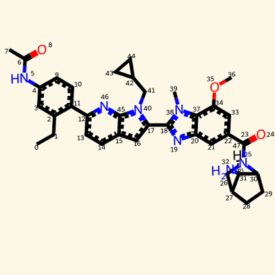 CCc1cc(NC(C)=O)ccc1-c1ccc2cc(-c3nc4cc(C(=O)N5CC6CCC5[C@@H]6N)cc(OC)c4n3C)n(CC3CC3)c2n1